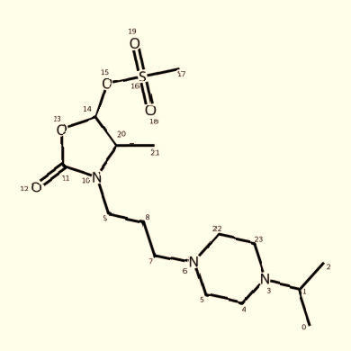 CC(C)N1CCN(CCCN2C(=O)OC(OS(C)(=O)=O)C2C)CC1